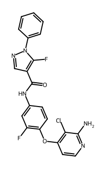 Nc1nccc(Oc2ccc(NC(=O)c3cnn(-c4ccccc4)c3F)cc2F)c1Cl